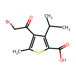 Cc1sc(C(=O)O)c(C(C)C)c1C(=O)CBr